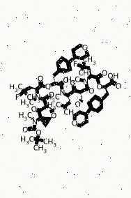 CC(C)C[C@@H](C(=O)[C@@H](C=O)C(=O)N(C)[C@@H](CC(C)(C)F)C(=O)O[C@H](Cc1ccc(C2CCOCC2)cc1)C(=O)O)N(C)C(=O)[C@@H](Cc1ccc(C2CCOCC2)cc1)OC(=O)[C@H](CC(C)(C)F)N(C)C(=O)[C@H](C=O)C(=O)C1(N(C)C(=O)OC(C)(C)C)CC1